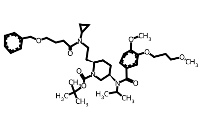 COCCCOc1cc(C(=O)N(C(C)C)[C@@H]2CC[C@H](CCN(C(=O)CCCOCc3ccccc3)C3CC3)N(C(=O)OC(C)(C)C)C2)ccc1OC